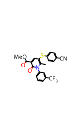 COC(=O)c1cc(Sc2ccc(C#N)cc2)c(C)n(-c2cccc(C(F)(F)F)c2)c1=O